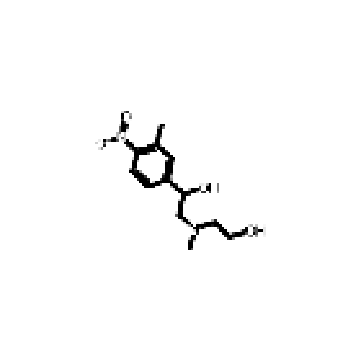 Cc1cc(C(O)CN(C)CCO)ccc1[N+](=O)[O-]